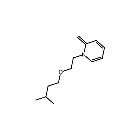 C=C1C=CC=CN1CCOCCC(C)C